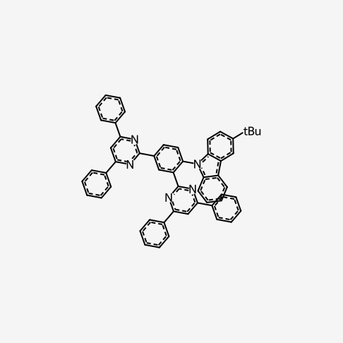 CC(C)(C)c1ccc2c(c1)c1ccccc1n2-c1ccc(-c2nc(-c3ccccc3)cc(-c3ccccc3)n2)cc1-c1nc(-c2ccccc2)cc(-c2ccccc2)n1